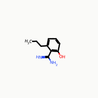 CCCc1cccc(O)c1C(=N)N